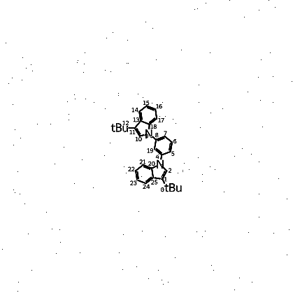 CC(C)(C)c1cn(-c2cccc(-n3cc(C(C)(C)C)c4ccccc43)c2)c2ccccc12